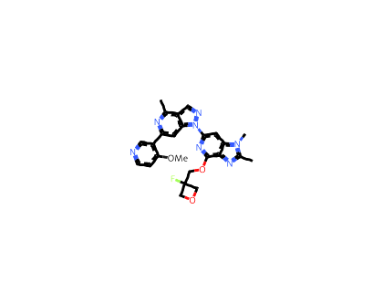 COc1ccncc1-c1cc2c(cnn2-c2cc3c(nc(C)n3C)c(OCC3(F)COC3)n2)c(C)n1